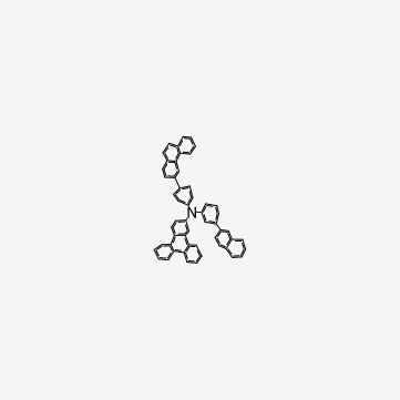 c1cc(-c2ccc3ccccc3c2)cc(N(c2ccc(-c3ccc4ccc5ccccc5c4c3)cc2)c2ccc3c4ccccc4c4ccccc4c3c2)c1